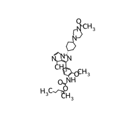 CCC[C@H](C)OC(=O)Nc1ccc(-c2nc([C@H]3CC[C@H](N4CCN(C(C)=O)CC4)CC3)n3ccnc(C)c23)cc1OC